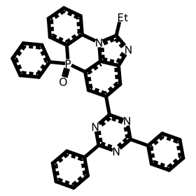 CCc1nc2cc(-c3nc(-c4ccccc4)nc(-c4ccccc4)n3)cc3c2n1-c1ccccc1P3(=O)c1ccccc1